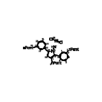 CCCCCC1=C(c2cccc(CCCCC)c2)[N+](=[N-])C(c2cccc(CCCCC)c2)=C1.[Cl][Ni][Cl]